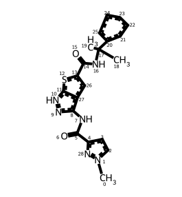 Cn1ccc(C(=O)Nc2n[nH]c3sc(C(=O)NC(C)(C)c4ccccc4)cc23)n1